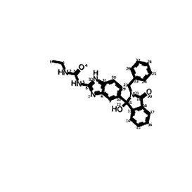 CCNC(=O)Nc1nc2cc(C3(O)c4ccccc4C(=O)N3Cc3ccccc3)ccc2[nH]1